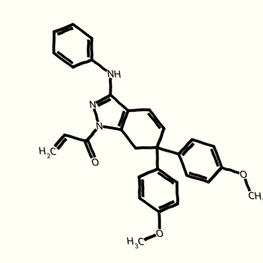 C=CC(=O)n1nc(Nc2ccccc2)c2c1CC(c1ccc(OC)cc1)(c1ccc(OC)cc1)C=C2